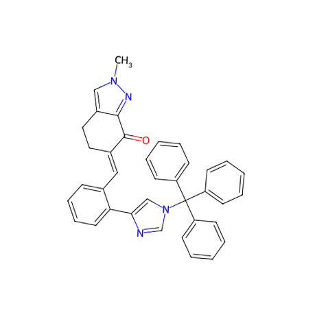 Cn1cc2c(n1)C(=O)/C(=C/c1ccccc1-c1cn(C(c3ccccc3)(c3ccccc3)c3ccccc3)cn1)CC2